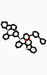 c1ccc(-c2cccc(-c3ccc(N(c4cccc(-c5ccccc5-n5c6ccccc6c6ccccc65)c4)c4ccccc4-c4cccc5c4oc4ccccc45)cc3)c2)cc1